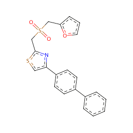 O=S(=O)(Cc1ccco1)Cc1nc(-c2ccc(-c3ccccc3)cc2)cs1